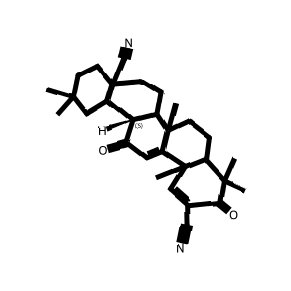 CC1(C)CCC2(C#N)CCC3[C@H](C(=O)C=C4C5(C)C=C(C#N)C(=O)C(C)(C)C5CCC43C)C2C1